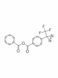 O=C(OC(=O)c1ccc(C2(C(F)(F)F)N=N2)cc1)c1ccccc1